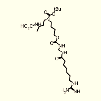 CC(CCN(CCCCOC(=O)NCNC(=O)CCCCCCNC(=N)N)C(=O)OC(C)(C)C)NC(=O)O